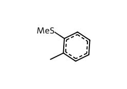 [CH2]Sc1ccccc1C